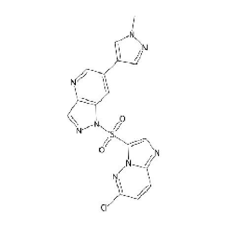 Cn1cc(-c2cnc3cnn(S(=O)(=O)c4cnc5ccc(Cl)nn45)c3c2)cn1